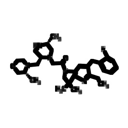 CCc1nc2c(cc1Cc1ccccc1F)N(C(=O)CN1C[C@@H](C)NC[C@@H]1CN1CCOC[C@H]1C)CC2(C)C